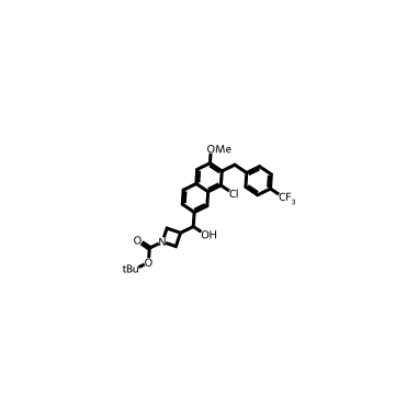 COc1cc2ccc(C(O)C3CN(C(=O)OC(C)(C)C)C3)cc2c(Cl)c1Cc1ccc(C(F)(F)F)cc1